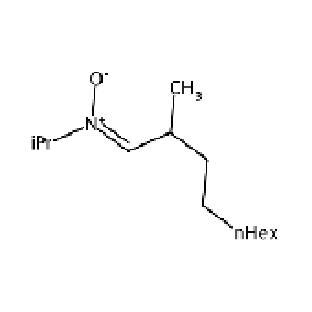 CCCCCCCCC(C)C=[N+]([O-])C(C)C